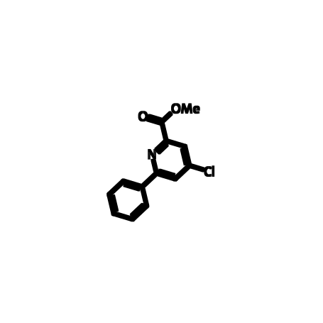 COC(=O)c1cc(Cl)cc(-c2ccccc2)n1